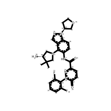 CC1(C)CN(c2c(NC(=O)c3ccc(=O)n(-c4c(F)cccc4F)n3)ccc3c2cnn3[C@H]2CCOC2)C[C@H]1N